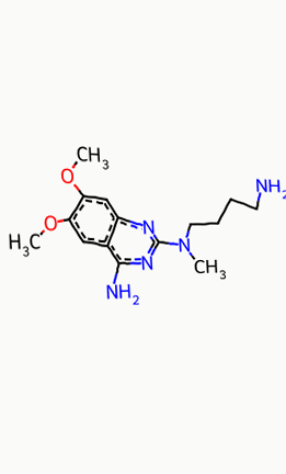 COc1cc2nc(N(C)CCCCN)nc(N)c2cc1OC